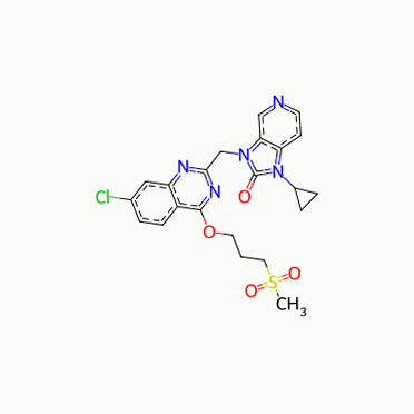 CS(=O)(=O)CCCOc1nc(Cn2c(=O)n(C3CC3)c3ccncc32)nc2cc(Cl)ccc12